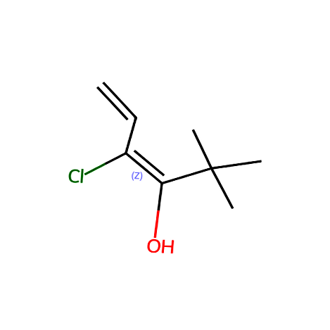 C=C/C(Cl)=C(/O)C(C)(C)C